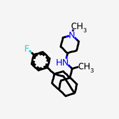 CC(NC1CCN(C)CC1)C12CC3CC(CC(c4ccc(F)cc4)(C3)C1)C2